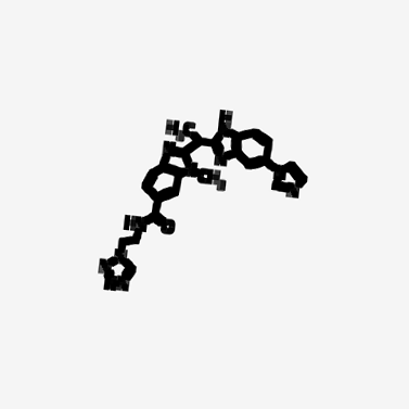 CC(c1nc2cc(-n3ccnc3)ccc2[nH]1)c1nc2ccc(C(=O)NCCn3cnnn3)cc2n1C